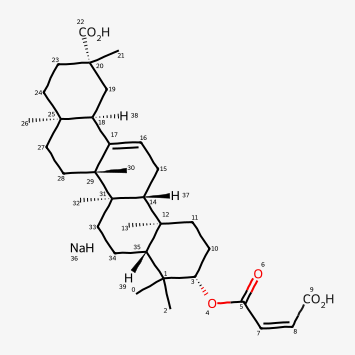 CC1(C)[C@@H](OC(=O)/C=C\C(=O)O)CC[C@]2(C)[C@H]3CC=C4[C@@H]5C[C@@](C)(C(=O)O)CC[C@]5(C)CC[C@@]4(C)[C@]3(C)CC[C@@H]12.[NaH]